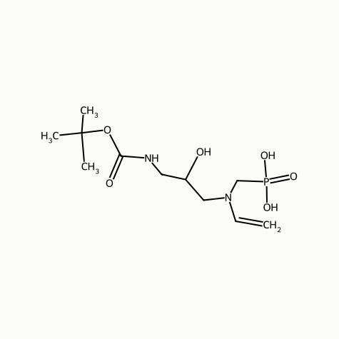 C=CN(CC(O)CNC(=O)OC(C)(C)C)CP(=O)(O)O